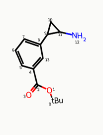 CC(C)(C)OC(=O)c1cccc(C2CC2N)c1